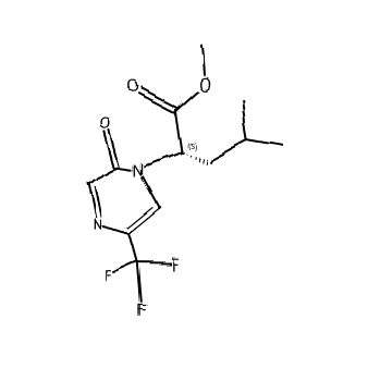 COC(=O)[C@H](CC(C)C)n1cc(C(F)(F)F)ncc1=O